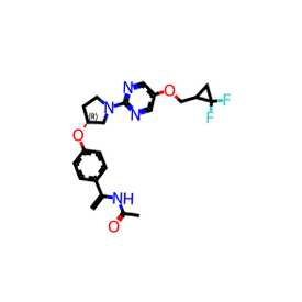 C=C(NC(C)=O)c1ccc(O[C@@H]2CCN(c3ncc(OCC4CC4(F)F)cn3)C2)cc1